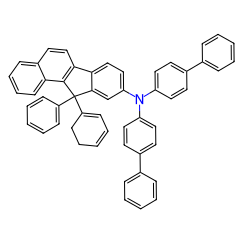 C1=CCCC(C2(c3ccccc3)c3cc(N(c4ccc(-c5ccccc5)cc4)c4ccc(-c5ccccc5)cc4)ccc3-c3ccc4ccccc4c32)=C1